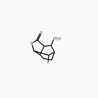 O=C(O)C1C2CCC3C(OC(=O)C31)C2I